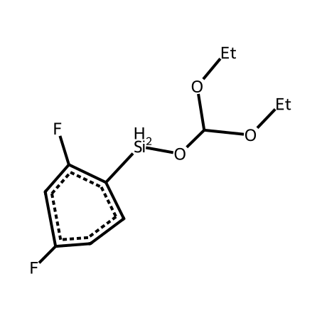 CCOC(OCC)O[SiH2]c1ccc(F)cc1F